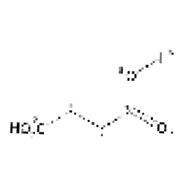 O=C(O)CCC(=O)OI